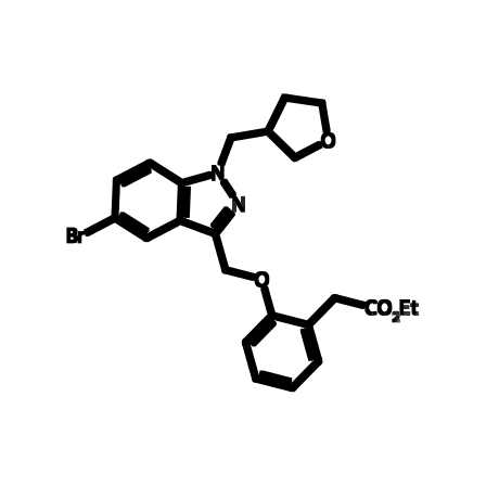 CCOC(=O)Cc1ccccc1OCc1nn(CC2CCOC2)c2ccc(Br)cc12